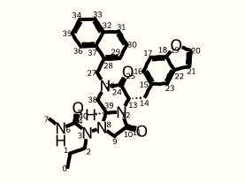 CCCN(C(=O)NC)N1CC(=O)N2[C@@H](Cc3ccc4occc4c3)C(=O)N(Cc3cccc4ccccc34)C[C@@H]21